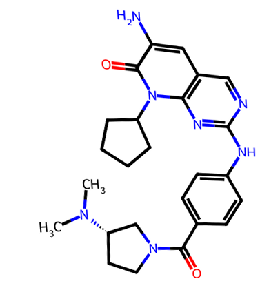 CN(C)[C@H]1CCN(C(=O)c2ccc(Nc3ncc4cc(N)c(=O)n(C5CCCC5)c4n3)cc2)C1